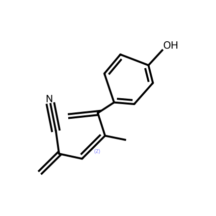 C=C(C#N)/C=C(/C)C(=C)c1ccc(O)cc1